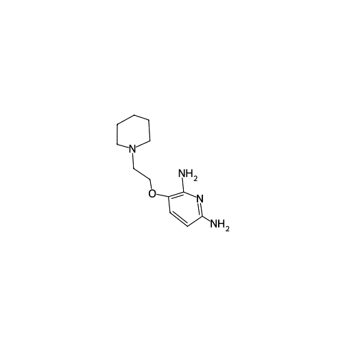 Nc1ccc(OCCN2CCCCC2)c(N)n1